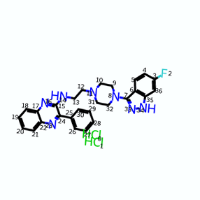 Cl.Cl.Fc1ccc2c(N3CCN(CCNc4nc5ccccc5nc4-c4ccccc4)CC3)n[nH]c2c1